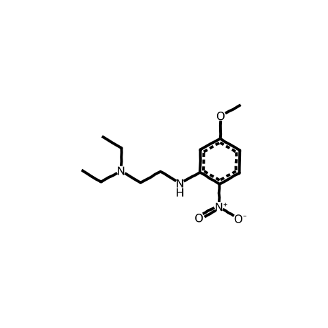 CCN(CC)CCNc1cc(OC)ccc1[N+](=O)[O-]